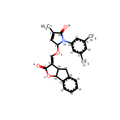 CC1=CC(OC=C2C(=O)OC3c4ccccc4CC23)N(c2cc(C(F)(F)F)cc(C(F)(F)F)c2)C1=O